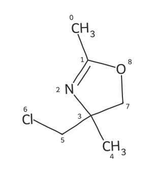 CC1=NC(C)(CCl)CO1